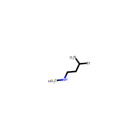 CCC(CCNC(=O)O)[N+](=O)[O-]